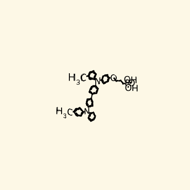 Cc1ccc(N(c2ccccc2)c2ccc(-c3ccc(N(c4ccc(OCCCP(=O)(O)O)cc4)c4cccc(C)c4)cc3)cc2)cc1